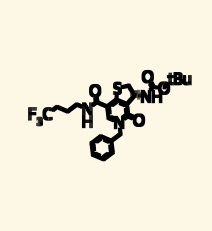 CC(C)(C)OC(=O)N[C@H]1CSc2c(C(=O)NCCCC(F)(F)F)cn(Cc3ccccc3)c(=O)c21